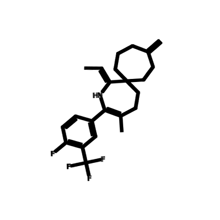 C=C1CCCC2(CC1)CCC(C)=C(c1ccc(F)c(C(F)(F)F)c1)NC2=CC